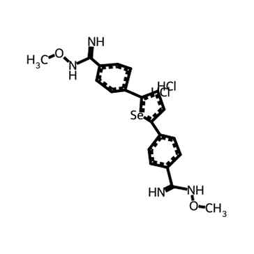 CONC(=N)c1ccc(-c2ccc(-c3ccc(C(=N)NOC)cc3)[se]2)cc1.Cl.Cl